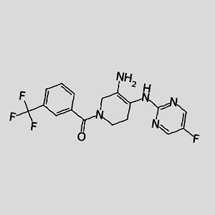 NC1=C(Nc2ncc(F)cn2)CCN(C(=O)c2cccc(C(F)(F)F)c2)C1